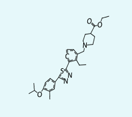 CCOC(=O)C1CCN(Cc2cccc(-c3nnc(-c4ccc(OC(C)C)c(C)c4)s3)c2CC)CC1